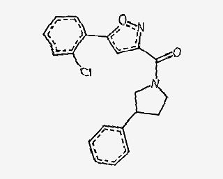 O=C(c1cc(-c2ccccc2Cl)on1)N1CCC(c2ccccc2)C1